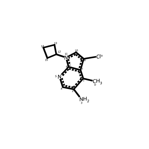 Cc1c(N)cnc2c1c(Cl)cn2C1CCC1